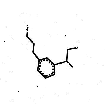 CCCCc1[c]c(C(C)CC)ccc1